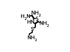 NCCSCC1=C(N)SC(=C(N)N)N1